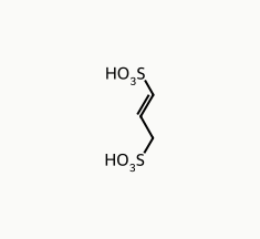 O=S(=O)(O)C=CCS(=O)(=O)O